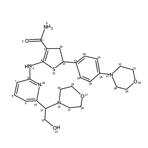 NC(=O)C1=C(Nc2cccc(C(CO)N3CCOCC3)n2)SC(c2ccc(N3CCOCC3)cc2)C1